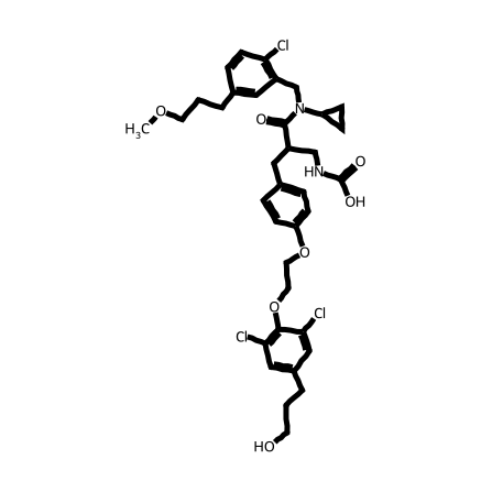 COCCCc1ccc(Cl)c(CN(C(=O)C(CNC(=O)O)Cc2ccc(OCCOc3c(Cl)cc(CCCO)cc3Cl)cc2)C2CC2)c1